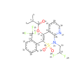 CC(C)C(=O)OC1=C(c2ccccc2C(F)(F)F)S(=O)(=O)N(CC(F)F)c2ncccc21